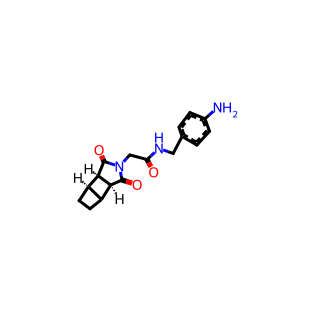 Nc1ccc(CNC(=O)CN2C(=O)[C@@H]3[C@@H]4CCC4[C@@H]3C2=O)cc1